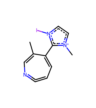 CC1=CN=C=CC=C1c1n(I)cc[n+]1C